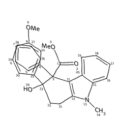 COC(=O)C1(c2cccc(OC)c2)c2c(n(C)c3ccccc23)CCC1(O)c1ccccc1